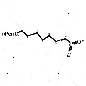 CCCCCCCCCCCCP(=O)=O